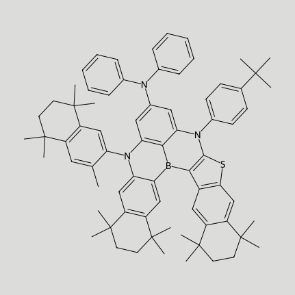 Cc1cc2c(cc1N1c3cc4c(cc3B3c5c1cc(N(c1ccccc1)c1ccccc1)cc5N(c1ccc(C(C)(C)C)cc1)c1sc5cc6c(cc5c13)C(C)(C)CCC6(C)C)C(C)(C)CCC4(C)C)C(C)(C)CCC2(C)C